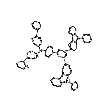 c1ccc(-c2ccc(N(c3ccc(-c4cc(-c5ccc6c(c5)c5ccccc5n6-c5ccccc5)cc(-c5ccc6c(c5)c5ccccc5n6-c5ccccc5)c4)cc3)c3ccc(-c4ccccn4)cc3)cc2)cc1